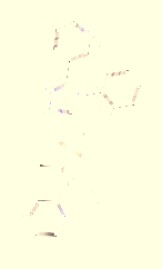 COc1cccc(OC)c1-n1c(NS(=O)(=O)[C@H](C)[C@H](OC)c2ccc(Br)cn2)nnc1-c1cncc(C)c1